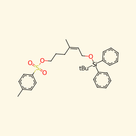 C/C(=C/CO[Si](c1ccccc1)(c1ccccc1)C(C)(C)C)CCCOS(=O)(=O)c1ccc(C)cc1